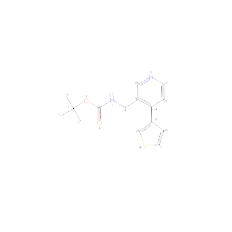 CC(C)(C)OC(=O)NCc1cnccc1-c1ccsc1